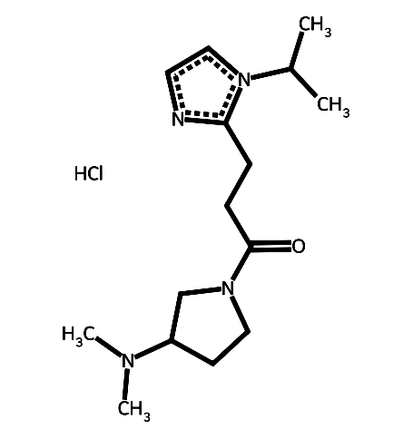 CC(C)n1ccnc1CCC(=O)N1CCC(N(C)C)C1.Cl